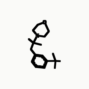 CC(C)(C)c1cccc(CC(C)(C)N2CCOCC2)c1